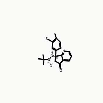 Cc1ccc([C@@]2(N[S@+]([O-])C(C)(C)C)CC(=O)c3cccnc32)cc1F